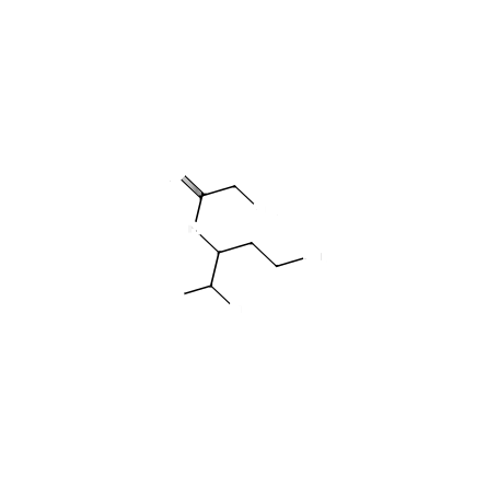 C=C(CC)NC(CCC)C(C)C